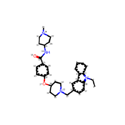 CCn1c2ccccc2c2cc(CN3CCC(Oc4ccc(C(=O)NC5CCN(C)CC5)cc4)CC3)ccc21